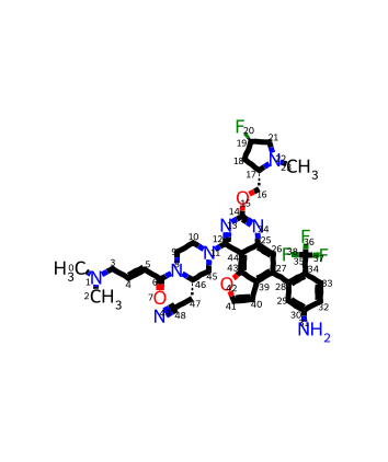 CN(C)C/C=C/C(=O)N1CCN(c2nc(OC[C@@H]3C[C@@H](F)CN3C)nc3cc(-c4cc(N)ccc4C(F)(F)F)c4ccoc4c23)C[C@@H]1CC#N